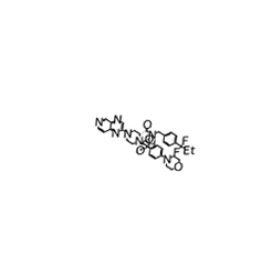 CCC(F)(F)c1ccc(CNC(=O)[C@H]2CN(c3cnc4cnccc4n3)CCN2S(=O)(=O)c2ccc(N3CCOCC3)cc2)cc1